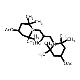 CC(=O)OC1CC(C)(C)N(CC(O)CN2C(C)(C)CC(OC(C)=O)CC2(C)C)C(C)(C)C1